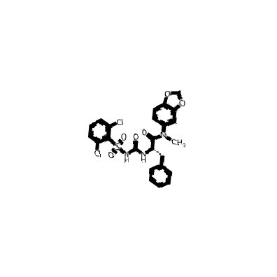 CN(C(=O)[C@H](Cc1ccccc1)NC(=O)NS(=O)(=O)c1c(Cl)cccc1Cl)c1ccc2c(c1)OCO2